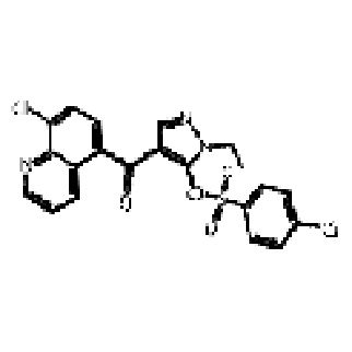 CCn1ncc(C(=O)c2ccc(Cl)c3ncccc23)c1OS(=O)(=O)c1ccc(Cl)cc1